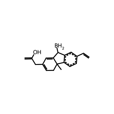 BC1C2=CC(CC(=C)O)=CCC2(C)c2ccc(C=C)cc21